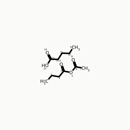 CCCC(=O)OC(C)=O.CCCCC(=O)O